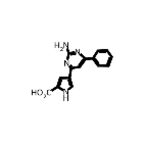 Nc1nc(-c2ccccc2)cc(-c2c[nH]c(C(=O)O)c2)n1